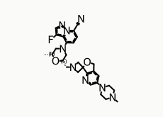 C[C@@H]1CN(c2ccc(C#N)n3ncc(F)c23)C[C@H](CN2CC3(C2)OCc2cc(N4CCN(C)CC4)cnc23)O1